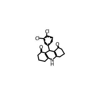 O=C1CCCC2=C1C(c1ccc(Cl)c(Cl)c1)C1=C(CCCC1=O)N2